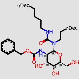 CCCCCCCCCCCCCCNC(=O)N(CCCCCCCCCCCC)[C@@H]1O[C@H](CO)[C@H](O)[C@H](O)[C@H]1NC(=O)OCc1ccccc1